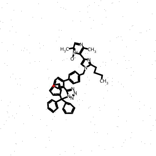 CCCCc1nc(-c2c(C)ncc(C)[n+]2[O-])cn1Cc1ccc(-c2ccccc2-c2nnnn2C(c2ccccc2)(c2ccccc2)c2ccccc2)cc1